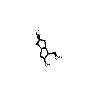 O=C1CC2CC(O)C(CO)C2C1